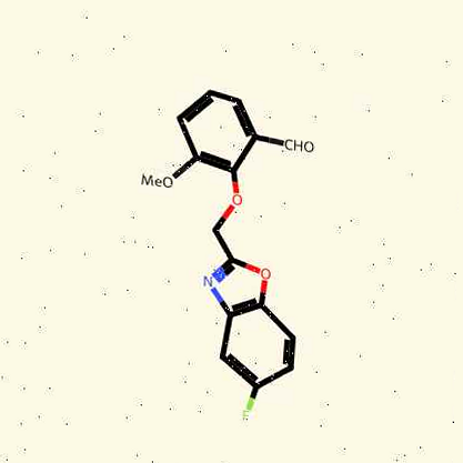 COc1cccc(C=O)c1OCc1nc2cc(F)ccc2o1